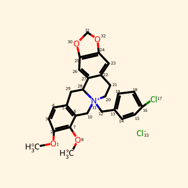 COc1ccc2c(c1OC)C[N+]1(Cc3ccc(Cl)cc3)CCc3cc4c(cc3C1C2)OCO4.[Cl-]